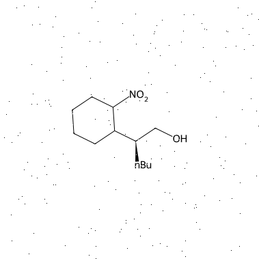 CCCC[C@H](CO)C1CCCCC1[N+](=O)[O-]